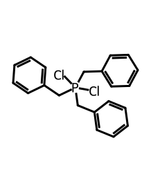 ClP(Cl)(Cc1ccccc1)(Cc1ccccc1)Cc1ccccc1